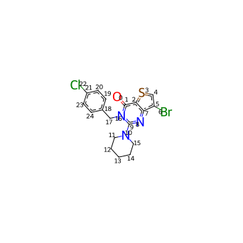 O=c1c2scc(Br)c2nc(N2CCCCC2)n1Cc1ccc(Cl)cc1